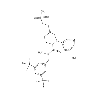 CN(Cc1cc(C(F)(F)F)cc(C(F)(F)F)c1)C(=O)C1CCN(CCS(C)(=O)=O)CC1c1ccccc1.Cl